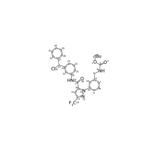 CC(C)(C)OC(=O)NCc1cccc(-n2nc(C(F)(F)F)cc2C(=O)Nc2cccc(C(Cl)c3ccccc3)c2)c1